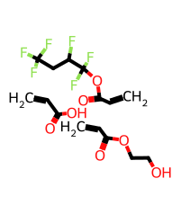 C=CC(=O)O.C=CC(=O)OC(F)(F)C(F)CC(F)(F)F.C=CC(=O)OCCO